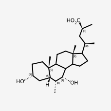 C[C@H]1[C@@H](O)C2C3CCC([C@H](C)C[C@H](C)C(=O)O)[C@@]3(C)CCC2[C@@]2(C)CC[C@@H](O)C[C@@H]12